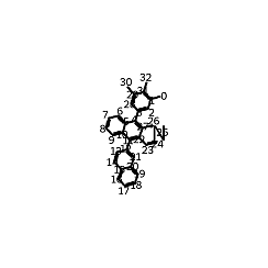 Cc1cc(-c2c3ccccc3c(-c3ccc4ccccc4c3)c3ccncc23)cc(C)c1C